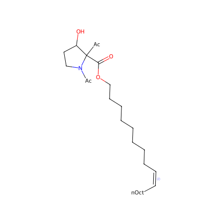 CCCCCCCC/C=C\CCCCCCCCOC(=O)C1(C(C)=O)C(O)CCN1C(C)=O